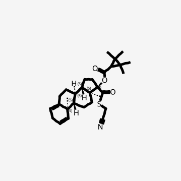 CC1(C)C(C(=O)O[C@]2(C(=O)SCC#N)CC[C@H]3[C@@H]4CCC5=CCC=C[C@]5(C)[C@H]4CC[C@@]32C)C1(C)C